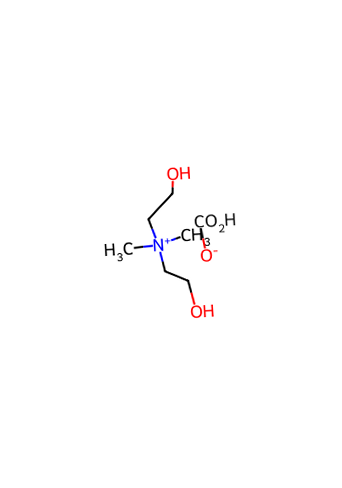 C[N+](C)(CCO)CCO.O=C([O-])O